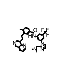 Cc1ccc(C(=O)Nc2cc(-n3ccnc3CN(C)C)cc(C(F)(F)F)c2)cc1CCc1cncc2cccnc12